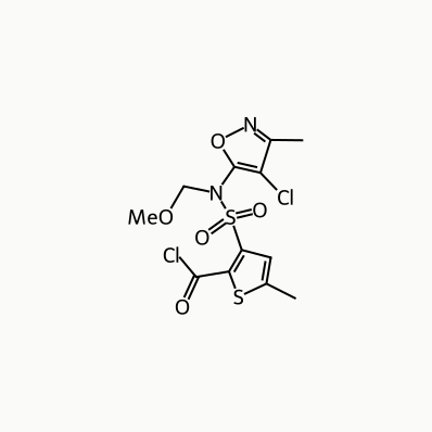 COCN(c1onc(C)c1Cl)S(=O)(=O)c1cc(C)sc1C(=O)Cl